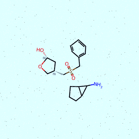 NC1C2CCCC12.O=S(=O)(Cc1ccccc1)C[C@@H]1CO[C@H](O)C1